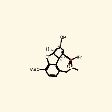 COc1ccc2c3c1O[C@H]1C[C@@H](O)C=C(C(=O)C(C)C)[C@@]31CCN(C)C2